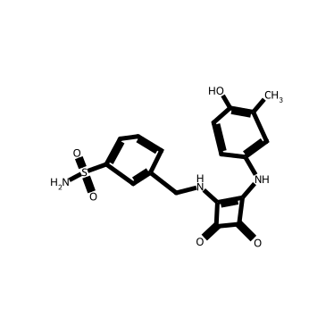 Cc1cc(Nc2c(NCc3cccc(S(N)(=O)=O)c3)c(=O)c2=O)ccc1O